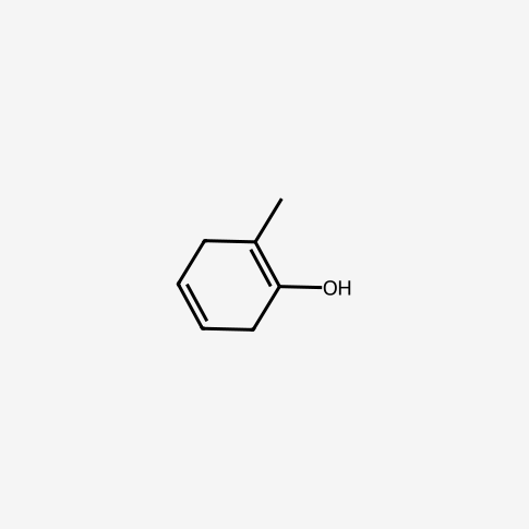 CC1=C(O)CC=CC1